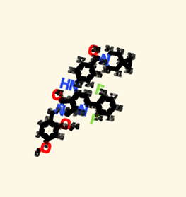 COc1ccc(CN2Cc3nc(-c4c(F)cccc4F)cc(Nc4ccc(C(=O)N5CCC6(CC5)CC6)cc4)c3C2=O)c(OC)c1